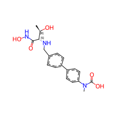 C[C@@H](O)[C@H](NCc1ccc(-c2ccc(N(C)C(=O)O)cc2)cc1)C(=O)NO